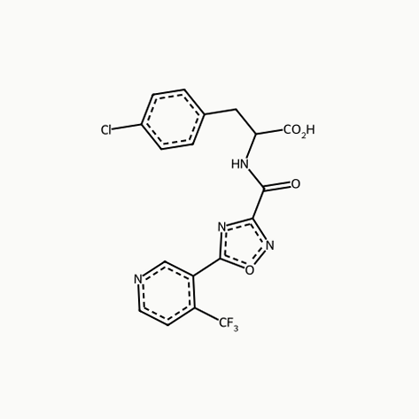 O=C(NC(Cc1ccc(Cl)cc1)C(=O)O)c1noc(-c2cnccc2C(F)(F)F)n1